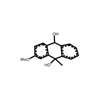 COc1ccc2c(c1)C(C)(O)c1ccccc1C2O